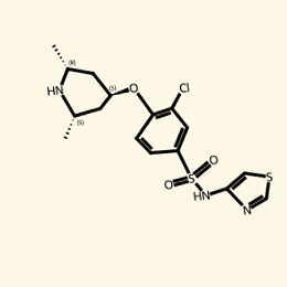 C[C@@H]1C[C@@H](Oc2ccc(S(=O)(=O)Nc3cscn3)cc2Cl)C[C@H](C)N1